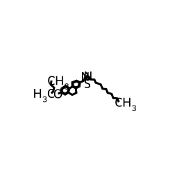 CCCCCCCCCCc1nnc(-c2ccc3c(c2)CCc2cc(OC(C)CCC)ccc2-3)s1